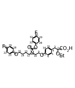 CCOC(Cc1ccc(OCCN(CCCCOc2ccc(F)cc2)C(=O)Oc2ccc(F)cc2)cc1)C(=O)O